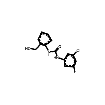 O=C(Nc1cc(F)cc(Cl)c1)Nc1ccccc1CO